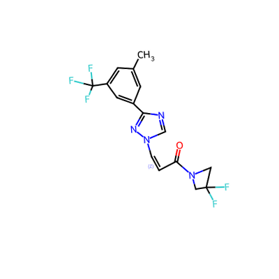 Cc1cc(-c2ncn(/C=C\C(=O)N3CC(F)(F)C3)n2)cc(C(F)(F)F)c1